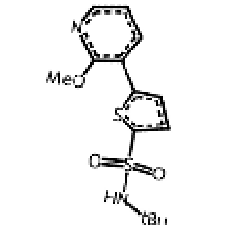 COc1ncccc1-c1ccc(S(=O)(=O)NC(C)(C)C)s1